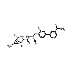 CC1C2C1[C@H]1C[C@@H]2N[C@@H]1C(=O)N[C@H](C#N)Cc1ccc(-c2cccc(C(N)=O)c2)cc1F